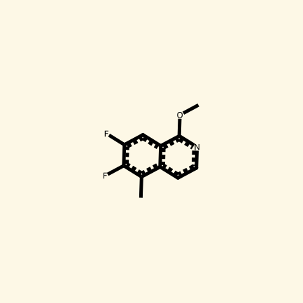 COc1nccc2c(C)c(F)c(F)cc12